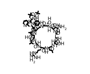 CC[C@H](C)[C@@H]1NC(=O)[C@@H](CCCNC(=N)N)NC(=O)[C@H](CC(C)C)NC(=O)[C@H]([C@H](O)C(C)C)NC(=O)[C@@H](NC(=O)[C@H](Cc2ccccn2)NC(=O)[C@@H](CC(C)(C)C)NC(=O)OC(C)(C)C)[C@@H](c2ccccc2)NC(=O)[C@H](CO)NC(=O)[C@H]([C@H](O)C(N)=O)NC(=O)CNC(=O)[C@H]([C@H](C)O)NC1=O